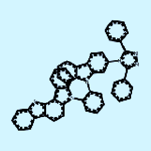 c1ccc(-c2nnc(-c3ccccc3)n2-c2ccc3c4ccccc4n(-c4ccccc4-n4c5ccccc5c5c6sc7ccccc7c6ccc54)c3c2)cc1